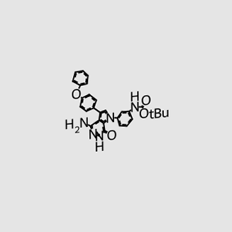 CC(C)(C)OC(=O)Nc1cccc(-n2cc(-c3ccc(Oc4ccccc4)cc3)c3c(N)n[nH]c(=O)c32)c1